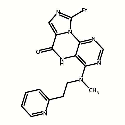 CCc1ncc2c(=O)[nH]c3c(N(C)CCc4ccccn4)ncnc3n12